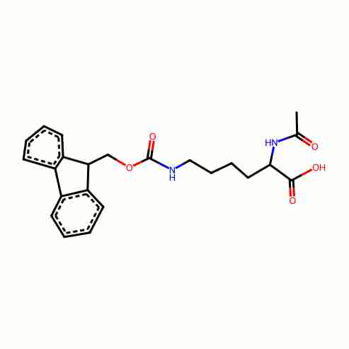 CC(=O)NC(CCCCNC(=O)OCC1c2ccccc2-c2ccccc21)C(=O)O